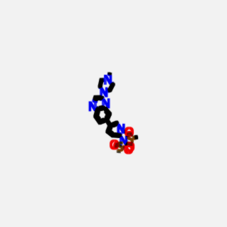 CN1CCN(c2cnc3ccc(-c4ccc(N(S(C)(=O)=O)S(C)(=O)=O)nc4)cc3n2)CC1